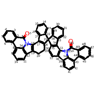 O=c1c2ccccc2c2cccc3c4c(n1c32)C1=C(CC4)C2(c3ccccc31)c1ccccc1-c1c2ccc2c3cccc4c5ccccc5c(=O)n(c12)c43